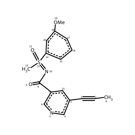 CC#Cc1cncc(C(=O)N=S(C)(=O)c2cccc(OC)c2)c1